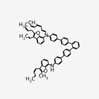 C=C/C=C\c1c(C)oc2c(Nc3ccc(-c4ccc(-c5ccccc5-c5ccc(-c6ccc(N(/C=C/C=C\C=C/C)c7cccc8c(C=C)c(C/C=C\C)oc78)cc6)cc5)cc4)cc3)cccc12